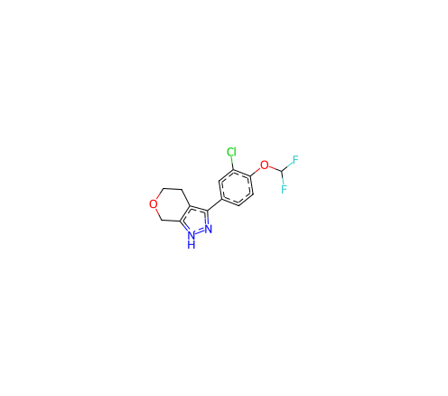 FC(F)Oc1ccc(-c2n[nH]c3c2CCOC3)cc1Cl